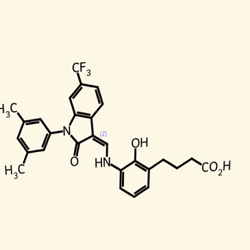 Cc1cc(C)cc(N2C(=O)/C(=C\Nc3cccc(CCCC(=O)O)c3O)c3ccc(C(F)(F)F)cc32)c1